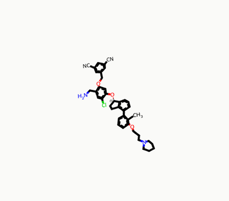 Cc1c(OCCCN2CCCCC2)cccc1-c1cccc2c1CC[C@@H]2Oc1cc(OCc2cc(C#N)cc(C#N)c2)c(CN)cc1Cl